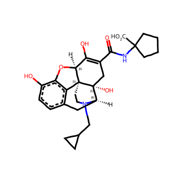 O=C(NC1(C(=O)O)CCCC1)C1=C(O)[C@@H]2Oc3c(O)ccc4c3[C@@]23CCN(CC2CC2)[C@H](C4)[C@]3(O)C1